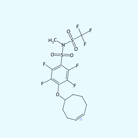 CN(S(=O)(=O)c1c(F)c(F)c(OC2CC/C=C\CCC2)c(F)c1F)S(=O)(=O)C(F)(F)F